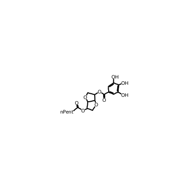 CCCCCC(=O)OC1COC2C(OC(=O)c3cc(O)c(O)c(O)c3)COC12